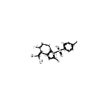 Cc1ccc(S(=O)(=O)n2c(C)cc3c2CCC(Cl)C3=C(C#N)C#N)cc1